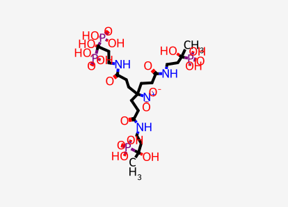 CC(O)(CCNC(=O)CCC(CCC(=O)NCCC(C)(O)P(=O)(O)O)(CCC(=O)NCCC(O)(P(=O)(O)O)P(=O)(O)O)[N+](=O)[O-])P(=O)(O)O